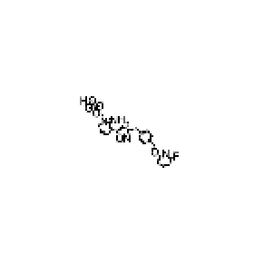 Nc1c(-c2cc(Cc3ccc(COc4cccc(F)n4)cc3)no2)ccc[n+]1COP(=O)([O-])O